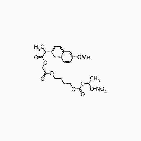 COc1ccc2cc(C(C)C(=O)OCC(=O)OCCCCOC(=O)OC(C)O[N+](=O)[O-])ccc2c1